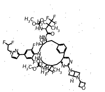 COC(=O)N[C@H](C(=O)NC1Cc2ccc(cc2)-c2cnc(N3C[C@H]4C3CN4C3COC3)nc2CC(C)(C(F)(F)F)[C@H](NC(=O)OC)C(=O)NN(c2c(F)cc(-c3ccn(CC(F)F)n3)cc2F)C[C@@H]1O)C(C)(C)C(F)(F)F